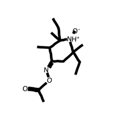 CCC1(C)CC(=NOC(C)=O)C(C)C(C)(CC)[NH+]1[O-]